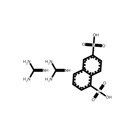 N=C(N)N.N=C(N)N.O=S(=O)(O)c1ccc2c(S(=O)(=O)O)cccc2c1